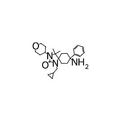 CC1(C)N(C2CCOCC2)C(=O)N(CC2CC2)C12CCC(N)(c1ccccc1)CC2